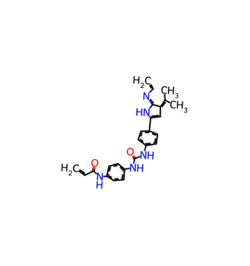 C=C/N=C1/NC(c2ccc(NC(=O)Nc3ccc(NC(=O)C=C)cc3)cc2)=CC1=C(C)C